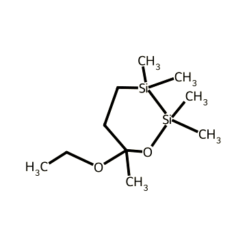 CCOC1(C)CC[Si](C)(C)[Si](C)(C)O1